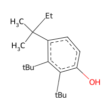 CCC(C)(C)c1ccc(O)c(C(C)(C)C)c1C(C)(C)C